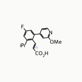 COc1cc(-c2cc(F)cc(C(C)C)c2/C=C/C(=O)O)ccn1